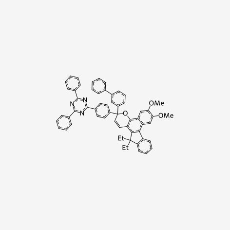 CCC1(CC)c2ccccc2-c2c1c1c(c3cc(OC)c(OC)cc23)OC(c2ccc(-c3nc(-c4ccccc4)nc(-c4ccccc4)n3)cc2)(c2cccc(-c3ccccc3)c2)C=C1